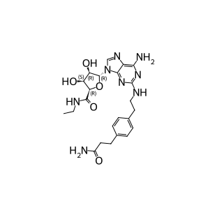 CCNC(=O)[C@@H]1O[C@@H](n2cnc3c(N)nc(NCCc4ccc(CCC(N)=O)cc4)nc32)[C@H](O)[C@@H]1O